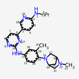 CCCNc1ccc(-c2ccnc(Nc3ccc(N4CC5CC4CN5C)c(C)c3)n2)cn1